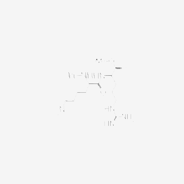 COC(=O)C(CCCNC(=N)N)NC(=O)C(CCCCN)NC(C)C